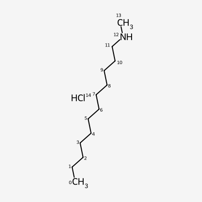 CCCCCCCCCCCCNC.Cl